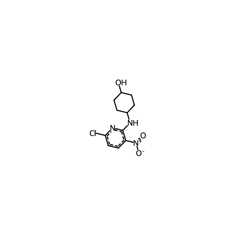 O=[N+]([O-])c1ccc(Cl)nc1NC1CCC(O)CC1